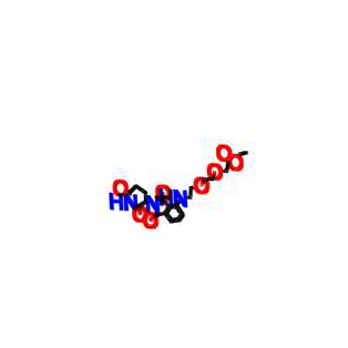 CCOC(=O)COCCOCCNc1cccc2c1C(=O)N(C1CCC(=O)NC1=O)C2=O